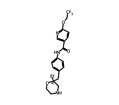 CC[C@@]1(Cc2ccc(NC(=O)c3ccc(OCC(F)(F)F)nc3)cc2)CNCCO1